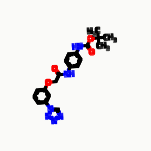 CC(C)(C)OC(=O)Nc1ccc(NC(=O)COc2cccc(-n3cnnn3)c2)cc1